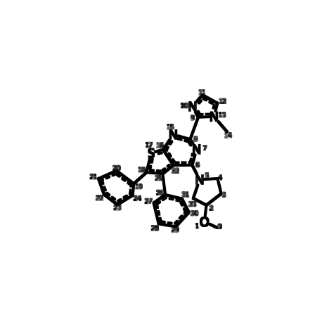 COC1CCN(c2nc(-c3nccn3C)nc3sc(-c4ccccc4)c(-c4ccccc4)c23)C1